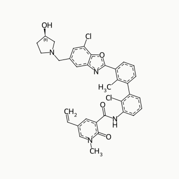 C=Cc1cc(C(=O)Nc2cccc(-c3cccc(-c4nc5cc(CN6CC[C@@H](O)C6)cc(Cl)c5o4)c3C)c2Cl)c(=O)n(C)c1